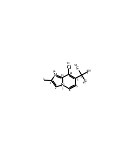 Cc1cn2ccc(C(F)(F)F)c(Cl)c2n1